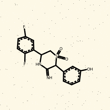 N=C1NC(c2cc(F)ccc2F)CS(=O)(=O)C1c1cccc(O)c1